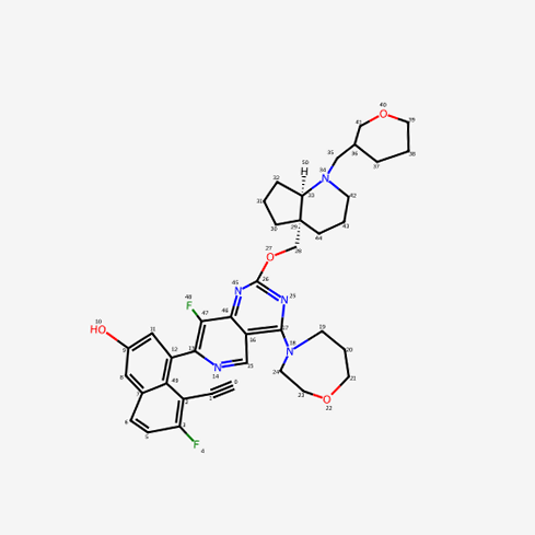 C#Cc1c(F)ccc2cc(O)cc(-c3ncc4c(N5CCCOCC5)nc(OC[C@]56CCC[C@H]5N(CC5CCCOC5)CCC6)nc4c3F)c12